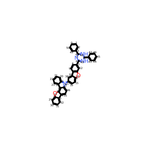 c1ccc(C2N=C(c3ccc4c(c3)oc3ccc(-n5c6ccccc6c6c7oc8ccccc8c7ccc65)cc34)NC(c3ccccc3)N2)cc1